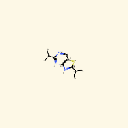 CC(C)c1ncc2sc(C(C)C)nc2n1